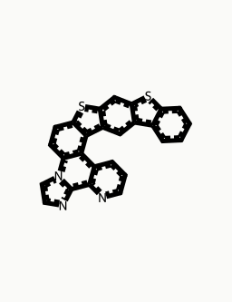 c1ccc2c(c1)sc1cc3sc4ccc5c(c6cccnc6c6nccn56)c4c3cc12